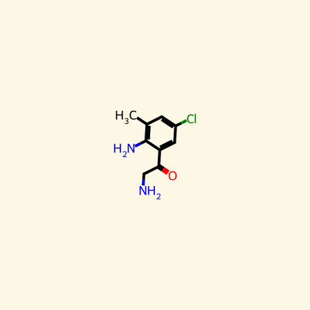 Cc1cc(Cl)cc(C(=O)CN)c1N